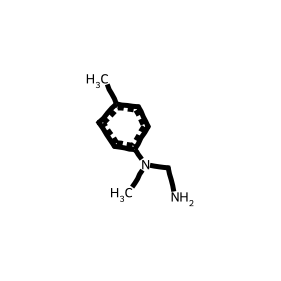 Cc1ccc(N(C)CN)cc1